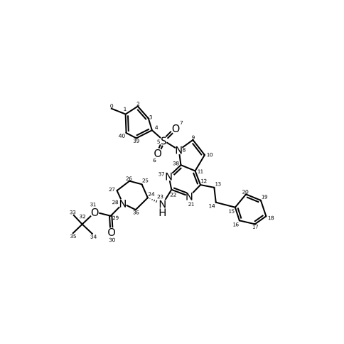 Cc1ccc(S(=O)(=O)n2ccc3c(CCc4ccccc4)nc(N[C@H]4CCCN(C(=O)OC(C)(C)C)C4)nc32)cc1